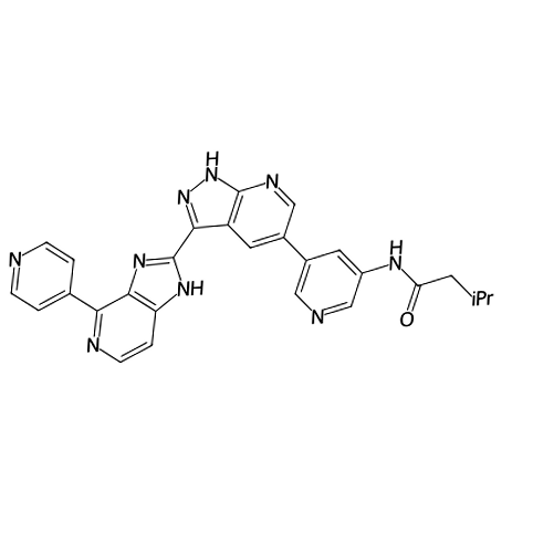 CC(C)CC(=O)Nc1cncc(-c2cnc3[nH]nc(-c4nc5c(-c6ccncc6)nccc5[nH]4)c3c2)c1